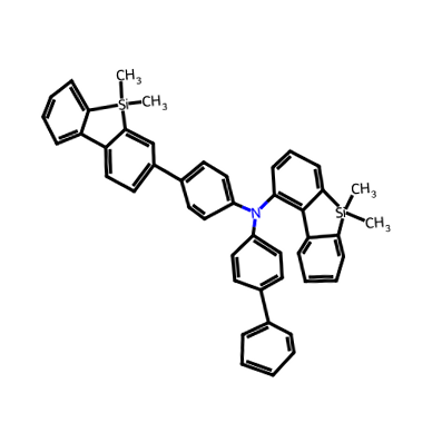 C[Si]1(C)c2ccccc2-c2ccc(-c3ccc(N(c4ccc(-c5ccccc5)cc4)c4cccc5c4-c4ccccc4[Si]5(C)C)cc3)cc21